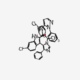 CC(c1ccc(Cl)cc1)n1cnc(-c2ccccc2)c1-c1c(C(=O)Nc2ccnn2-c2ccccc2)[nH]c2cc(Cl)ccc12